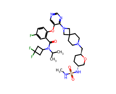 CNS(=O)(=O)N[C@@H]1CC[C@@H](CN2CCC3(CC2)CN(c2ncncc2Oc2ccc(F)cc2C(=O)N(C(C)C)C2CC(F)(F)C2)C3)OC1